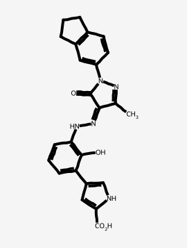 CC1=NN(c2ccc3c(c2)CCC3)C(=O)/C1=N\Nc1cccc(-c2c[nH]c(C(=O)O)c2)c1O